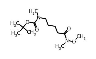 CON(C)C(=O)CCCCN(C)C(=O)OC(C)(C)C